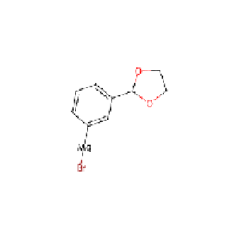 [Br][Mg][c]1cccc(C2OCCO2)c1